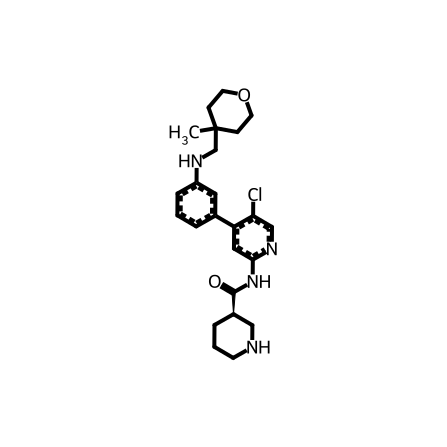 CC1(CNc2cccc(-c3cc(NC(=O)[C@@H]4CCCNC4)ncc3Cl)c2)CCOCC1